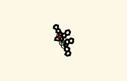 O=P(c1ccccc1)(c1cc2ccccc2c2c1oc1cc3ccccc3cc12)c1cc2ccccc2c2c1oc1cc3ccccc3cc12